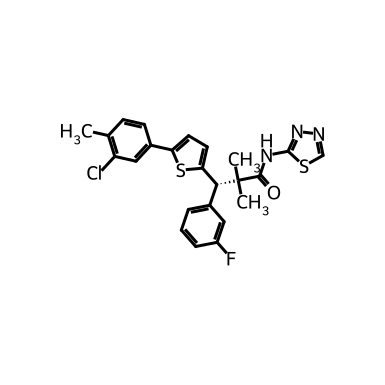 Cc1ccc(-c2ccc([C@@H](c3cccc(F)c3)C(C)(C)C(=O)Nc3nncs3)s2)cc1Cl